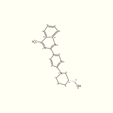 Cc1nc(-c2ccc(N3CCC[C@@H](CO)C3)nc2)nc2ccccc12